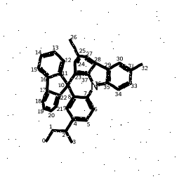 CCC(C)c1ccc2c(c1)C1(c3ccccc3-c3ccccc31)c1cc(C)cc3c4cc(C)ccc4n-2c13